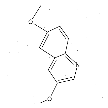 COc1ccc2ncc(OC)cc2c1